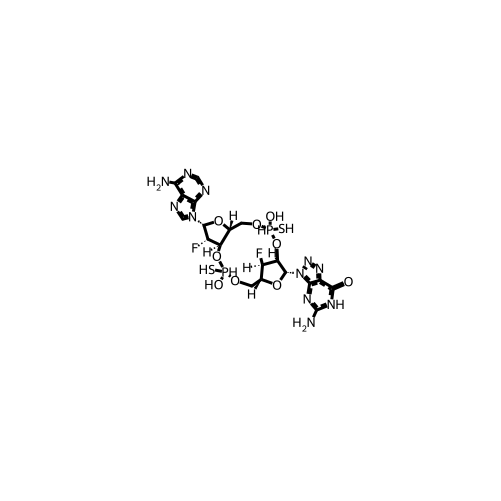 Nc1nc2c(nnn2[C@@H]2O[C@@H]3CO[PH](O)(S)O[C@H]4[C@H](F)[C@H](n5cnc6c(N)ncnc65)O[C@@H]4CO[PH](O)(S)O[C@@H]2[C@@H]3F)c(=O)[nH]1